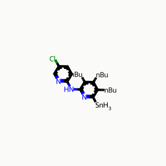 CCCCc1[c]([SnH3])nc(Nc2ccc(Cl)cn2)c(CCCC)c1CCCC